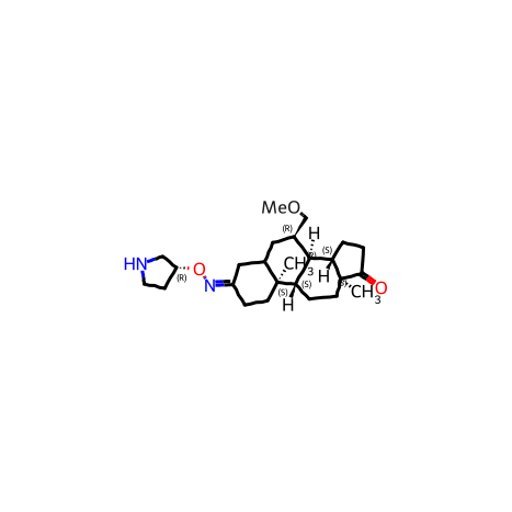 COC[C@@H]1CC2CC(=NO[C@@H]3CCNC3)CC[C@]2(C)[C@H]2CC[C@]3(C)C(=O)CC[C@H]3[C@H]12